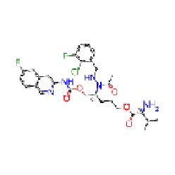 CC(=O)N(NCc1cccc(F)c1Cl)[C@@H](CCCOC(=O)[C@@H](N)C(C)C)COC(=O)Nc1cc2cc(F)ccc2cn1